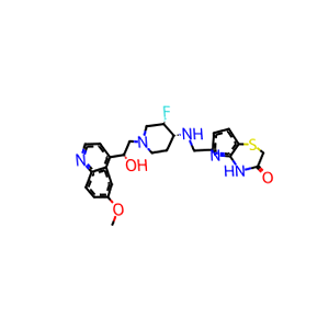 COc1ccc2nccc([C@@H](O)CN3CC[C@@H](NCc4ccc5c(n4)NC(=O)CS5)[C@@H](F)C3)c2c1